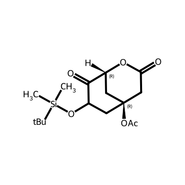 CC(=O)O[C@]12CC(=O)O[C@H](C1)C(=O)C(O[Si](C)(C)C(C)(C)C)C2